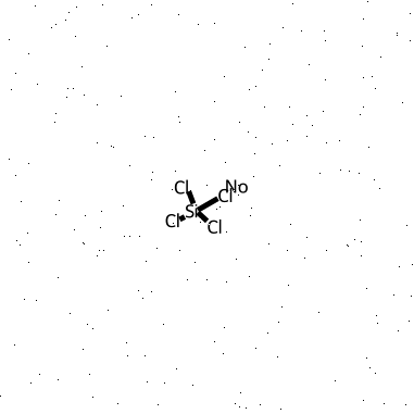 Cl[Si](Cl)(Cl)Cl.[No]